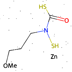 COCCCN(S)C(=O)S.[Zn]